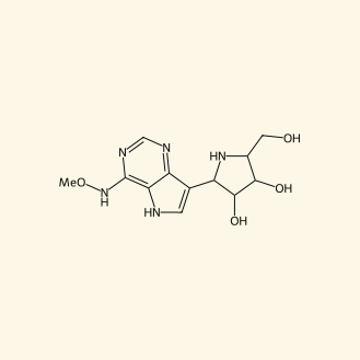 CONc1ncnc2c(C3NC(CO)C(O)C3O)c[nH]c12